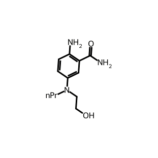 CCCN(CCO)c1ccc(N)c(C(N)=O)c1